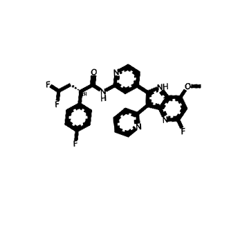 COc1cc(F)nc2c(-c3ccccn3)c(-c3ccnc(NC(=O)[C@@H](CC(F)F)c4ccc(F)cc4)c3)[nH]c12